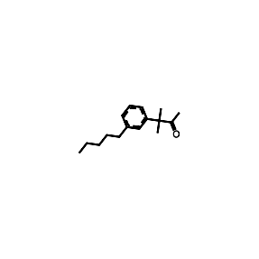 CCCCCc1cccc(C(C)(C)C(C)=O)c1